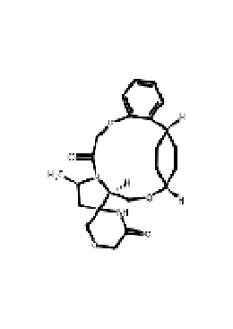 C[C@@H]1C[C@@]2(COCC(=O)N2)[C@@H]2CO[C@H]3CC[C@H](CC3)c3ccccc3OCC(=O)N12